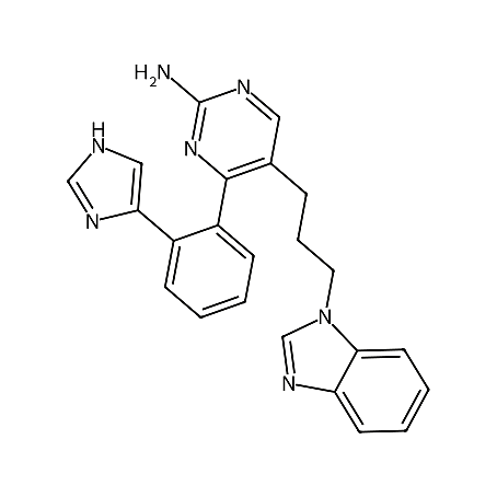 Nc1ncc(CCCn2cnc3ccccc32)c(-c2ccccc2-c2c[nH]cn2)n1